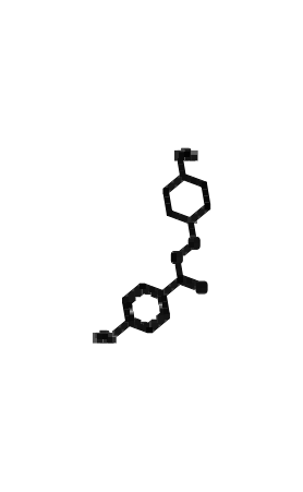 CCCCc1ccc(C(=O)OO[C]2CCC(CCCC)CC2)cc1